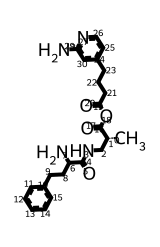 C[C@H](CNC(=O)C(N)CCc1ccccc1)C(=O)OC(=O)CCCc1ccnc(N)c1